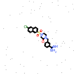 N=C(N)c1cccc(CN2CCN(S(=O)(=O)c3ccc4cc(Cl)ccc4c3)CC2=O)c1